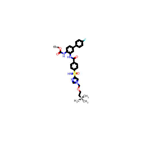 CC(C)(C)OC(=O)Nc1ccc(-c2ccc(F)cc2)cc1NC(=O)c1ccc(S(=N)(=O)c2cn(COCC[Si](C)(C)C)cn2)cc1